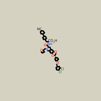 N#Cc1ccc(-c2ccc(C[C@H](NC(=O)C3Cc4cc5c(cc4CN3Cc3ccco3)O[C@@H](c3ccc(OCc4ccc(Cl)c(Cl)c4)cc3)CO5)C(=O)O)cc2)cc1